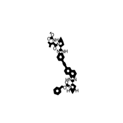 COC(=O)N[C@H](C(=O)N1C2CC2C[C@H]1c1nc2ccc(C#Cc3ccc4c(ccc5nc([C@@H]6C[C@H]7C[C@H]7N6C(=O)OCc6ccccc6)[nH]c54)c3)cc2[nH]1)C(C)C